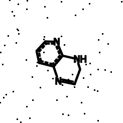 C1=Nc2cccnc2NC1